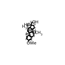 COc1ccc2c(c1)C[C@@H](C)[C@@H]1[C@@H]2CC[C@@]2(C)[C@@H]1CC[C@@]2(O)CO